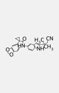 CC(C)(CC#N)c1cc2cc(NC(=O)C3(c4ccc5c(c4)OCO5)CC3)ccc2[nH]1